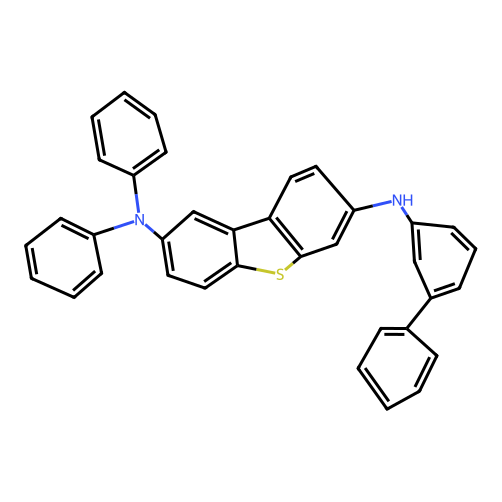 c1ccc(-c2cccc(Nc3ccc4c(c3)sc3ccc(N(c5ccccc5)c5ccccc5)cc34)c2)cc1